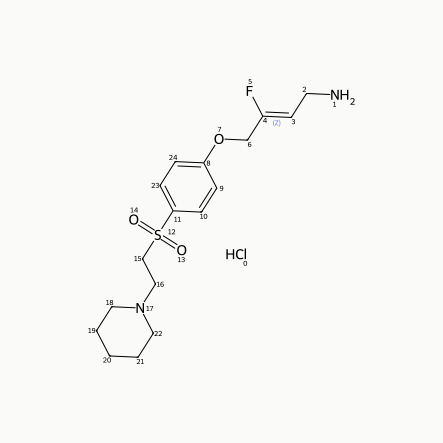 Cl.NC/C=C(\F)COc1ccc(S(=O)(=O)CCN2CCCCC2)cc1